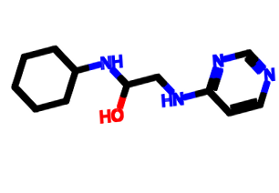 OC(CNc1ccncn1)NC1CCCCC1